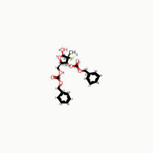 C[C@]1(F)[C@H](O)O[C@H](COC(=O)OCc2ccccc2)[C@H]1OC(=O)OCc1ccccc1